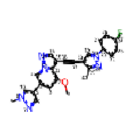 COc1cc(-c2cnn(C)c2)cn2ncc(C#Cc3cn(-c4ccc(F)cc4)nc3C)c12